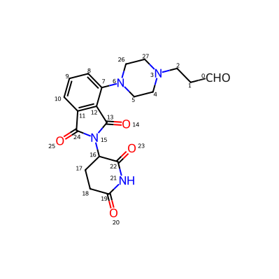 O=CCCN1CCN(c2cccc3c2C(=O)N(C2CCC(=O)NC2=O)C3=O)CC1